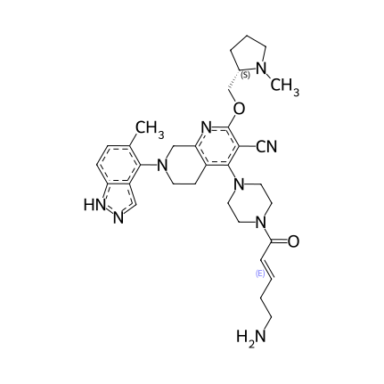 Cc1ccc2[nH]ncc2c1N1CCc2c(nc(OC[C@@H]3CCCN3C)c(C#N)c2N2CCN(C(=O)/C=C/CCN)CC2)C1